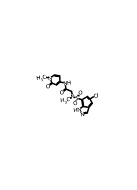 CN(CC(=O)Nc1ccn(C)c(=O)c1)S(=O)(=O)c1cc(Cl)cc2cn[nH]c12